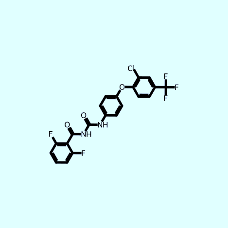 O=C(NC(=O)c1c(F)cccc1F)Nc1ccc(Oc2ccc(C(F)(F)F)cc2Cl)cc1